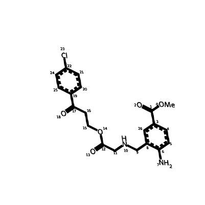 COC(=O)c1ccc(N)c(CNCC(=O)OCCC(=O)c2ccc(Cl)cc2)c1